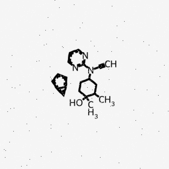 C#CN(c1ncccn1)C1CCC(C)(O)C(C)C1.c1cc2cc-2c1